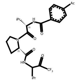 CC(=O)c1ccc(C(=O)N[C@H](C(=O)N2CCC[C@H]2C(=O)NC(C(=O)C(F)(F)F)C(C)C)C(C)C)cc1